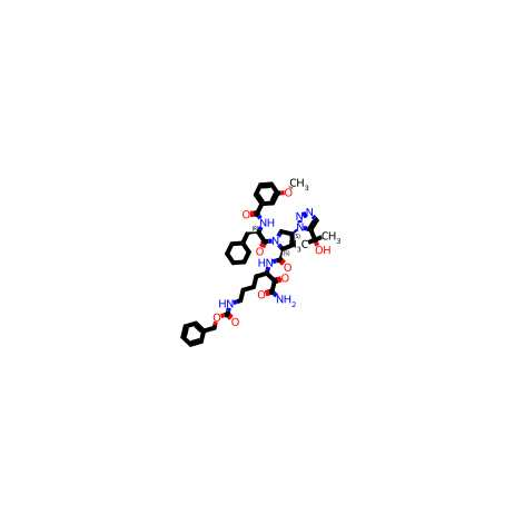 COc1cccc(C(=O)N[C@H](CC2CCCCC2)C(=O)N2C[C@@H](n3nncc3C(C)(C)O)C[C@H]2C(=O)NC(CCCCNC(=O)OCc2ccccc2)C(=O)C(N)=O)c1